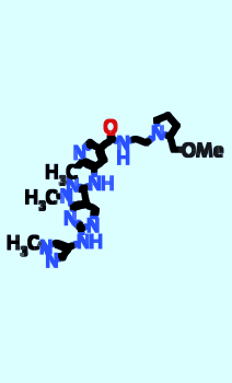 COCC1CCCN1CCNC(=O)c1cnc(C)c(Nc2nn(C)c3nc(Nc4cnn(C)c4)ncc23)c1